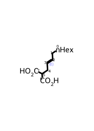 CCCCCCC/C=C/CC(C(=O)O)C(=O)O